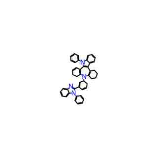 C1=CC2=C(CC1)N(C1C=C(c3nc4ccccc4n3-c3ccccc3)C=CC1)C1=C(CCCC1)c1c2n(-c2ccccc2)c2ccccc12